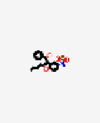 CCCCc1oc2ccc(N(C)S(C)(=O)=O)cc2c1C(=O)c1ccccc1